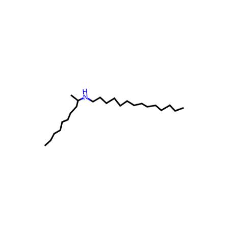 CCCCCCCCCCCCCCNC(C)CCCCCCCC